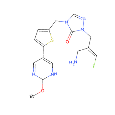 CCOC1N=CC(c2ccc(Cn3cnn(C/C(=C/F)CN)c3=O)s2)=CN1